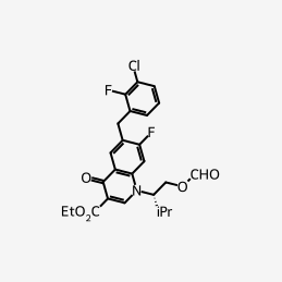 CCOC(=O)c1cn([C@H](COC=O)C(C)C)c2cc(F)c(Cc3cccc(Cl)c3F)cc2c1=O